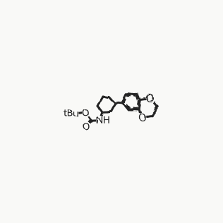 CC(C)(C)OC(=O)NC1CCCC(c2ccc3c(c2)OCCO3)C1